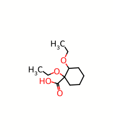 CCOC1CCCCC1(OCC)C(=O)O